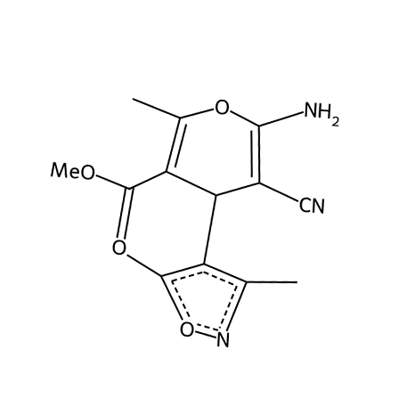 COC(=O)C1=C(C)OC(N)=C(C#N)C1c1c(C)noc1C